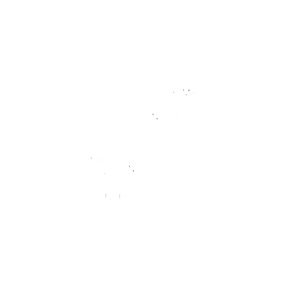 COc1cccc(/C=N/[S+]([O-])C(C)(C)C)n1